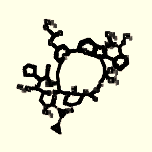 CCn1c(-c2cccnc2[C@H](C)OC)c2c3cc(ccc31)-c1cc(cc(OC(=O)OC)c1)C[C@H](NC(=O)[C@H](C1CCCC1)N(C)C(=O)CN(C)C(=O)[C@@H]1N[C@@H]1C1CC1)C(=O)N1CCC[C@H](N1)C(=O)OCC(C)(C)C2